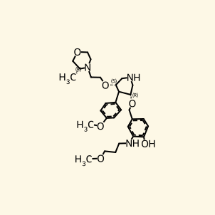 COCCCNc1cc(CO[C@H]2CNC[C@@H](OCCN3CCOC[C@H]3C)C2c2ccc(OC)cc2)ccc1O